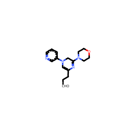 O=CCCC1=CN(c2cccnc2)CC(N2CCOCC2)=N1